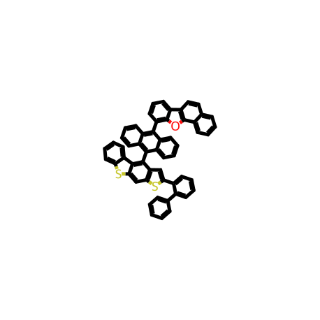 c1ccc(-c2ccccc2-c2cc3c(-c4c5ccccc5c(-c5cccc6c5oc5c7ccccc7ccc65)c5ccccc45)c4c(cc3s2)sc2ccccc24)cc1